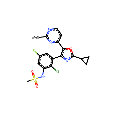 CNc1nccc(-c2oc(C3CC3)nc2-c2cc(F)cc(NS(C)(=O)=O)c2Cl)n1